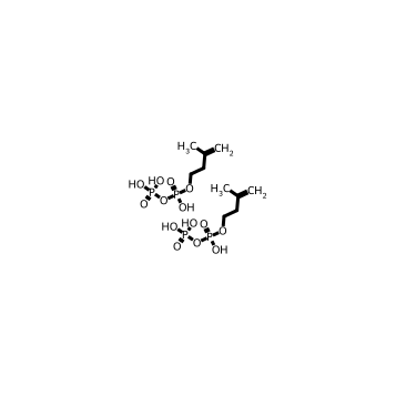 C=C(C)CCOP(=O)(O)OP(=O)(O)O.C=C(C)CCOP(=O)(O)OP(=O)(O)O